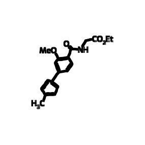 CCOC(=O)CNC(=O)c1ccc(-c2ccc(C)cc2)cc1OC